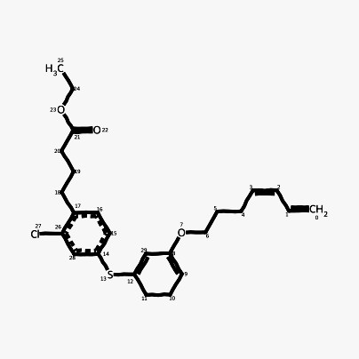 C=C/C=C\CCCOC1=CCCC(Sc2ccc(CCCC(=O)OCC)c(Cl)c2)=C1